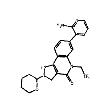 Nc1ncccc1-c1ccc2c3c(c(=O)n(CC(F)(F)F)c2c1)CN(C1CCCCO1)N3